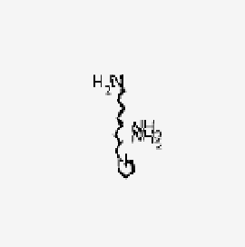 NCCCCCCCCN1CCCC1.NN